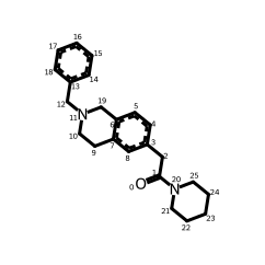 O=C(Cc1ccc2c(c1)CCN(Cc1ccccc1)C2)N1CCCCC1